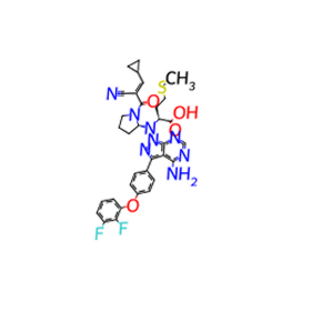 CSCC[C@@H](C(=O)O)N([C@H]1CCCN1C(=O)C(C#N)=CC1CC1)n1nc(-c2ccc(Oc3cccc(F)c3F)cc2)c2c(N)ncnc21